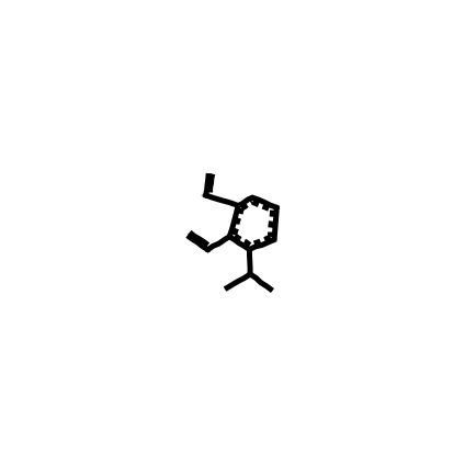 C=[C]c1cccc(C(C)C)c1C=C